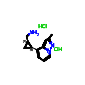 Cc1cc2c([C@@H]3C[C@H]3CN)cccn2n1.Cl.Cl